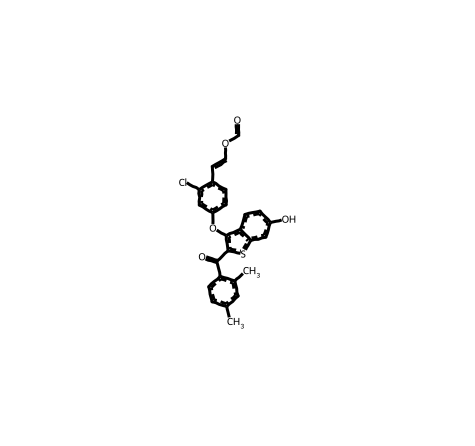 Cc1ccc(C(=O)c2sc3cc(O)ccc3c2Oc2ccc(/C=C/OC=O)c(Cl)c2)c(C)c1